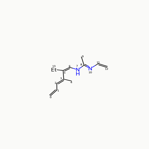 C=C/C=C(C)/C(=C\N/C(C)=N/C=C)CC